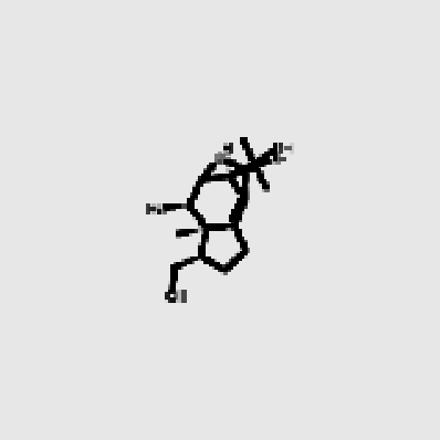 CC(C)(O)[C@H]1C2=C3CC[C@@H](CO)[C@]3(C)[C@H](O)C1OC2O